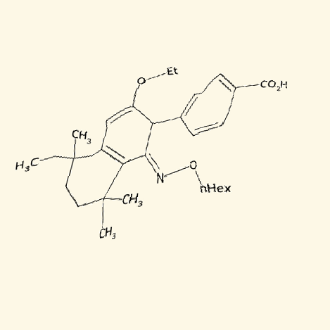 CCCCCCON=C1C2=C(C=C(OCC)C1c1ccc(C(=O)O)cc1)C(C)(C)CCC2(C)C